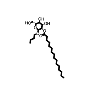 CCCCCCCCCCCCCCCC(=O)O[C@H]1C(OCCCC)O[C@H](CO)[C@@H](O)[C@@H]1O